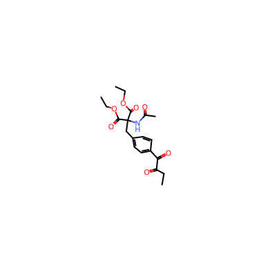 CCOC(=O)C(Cc1ccc(C(=O)C(=O)CC)cc1)(NC(C)=O)C(=O)OCC